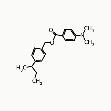 CCC(C)c1ccc(COC(=O)c2ccc(N(C)C)cc2)cc1